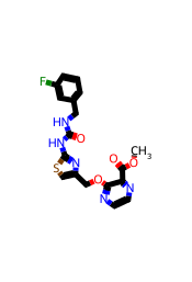 COC(=O)c1nccnc1OCc1csc(NC(=O)NCc2cccc(F)c2)n1